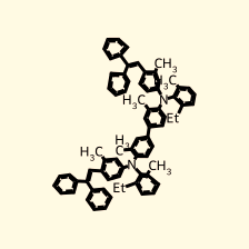 CCc1cccc(C)c1N(c1ccc(C=C(c2ccccc2)c2ccccc2)c(C)c1)c1ccc(-c2ccc(N(c3ccc(C=C(c4ccccc4)c4ccccc4)c(C)c3)c3c(C)cccc3CC)c(C)c2)cc1C